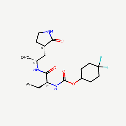 CC(C)C[C@H](NC(=O)OC1CCC(F)(F)CC1)C(=O)N[C@H](C=O)C[C@@H]1CCNC1=O